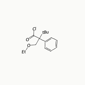 CCOCC(C(=O)Cl)(c1ccccc1)C(C)(C)C